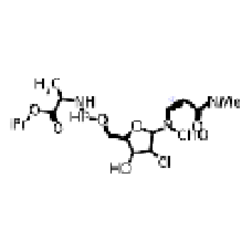 CNC(=O)/C=C\N(C=O)C1OC(COPNC(C)C(=O)OC(C)C)C(O)C1Cl